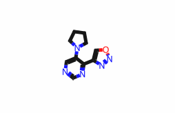 [c]1ncc(N2CCCC2)c(-c2conn2)n1